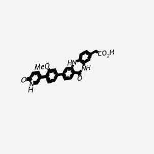 COc1cc(-c2ccc3c(c2)Nc2ccc(CC(=O)O)cc2NC3=O)ccc1-c1ccc(=O)[nH]c1